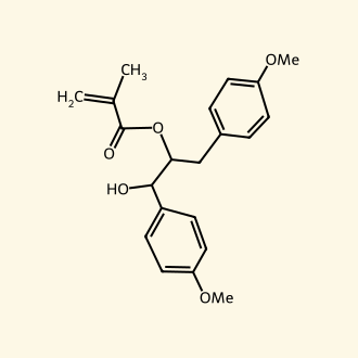 C=C(C)C(=O)OC(Cc1ccc(OC)cc1)C(O)c1ccc(OC)cc1